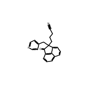 N#CCCCC1(Cc2ccncc2)C(=O)c2cccc3cccc1c23